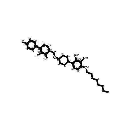 CCCCCCCCOc1ccc(C2CCC(OCc3ccc(-c4ccc(C)cc4)c(F)c3F)CC2)c(F)c1F